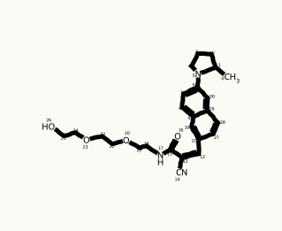 CC1CCCN1c1ccc2cc(C=C(C#N)C(=O)NCCOCCOCCO)ccc2c1